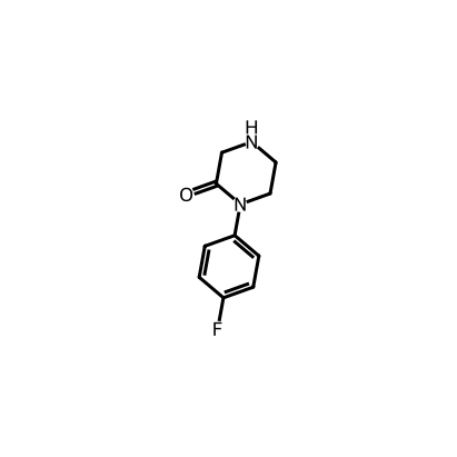 O=C1CNCCN1c1ccc(F)cc1